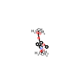 CC(C)(C)OC(=O)CCOCCc1ccc(OCc2ccccc2)c(C2(c3ccccc3)CCN(C(=O)OC(C)(C)C)CC2)c1